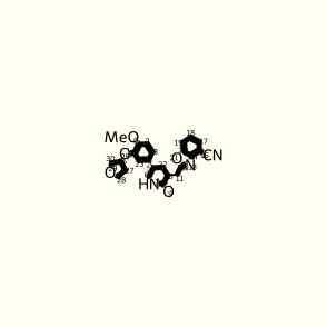 COc1ccc([C@H]2CNC(=O)[C@H](Cc3nc4c(C#N)cccc4o3)C2)cc1OC1CCOC1